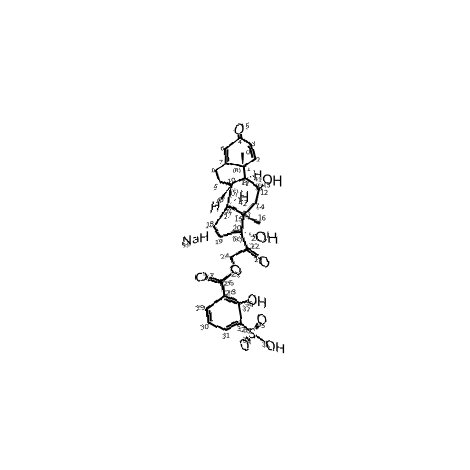 C[C@]12C=CC(=O)C=C1CC[C@@H]1[C@@H]2[C@@H](O)C[C@@]2(C)[C@H]1CC[C@]2(O)C(=O)COC(=O)c1cccc(S(=O)(=O)O)c1O.[NaH]